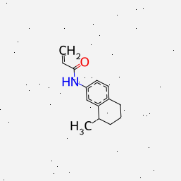 C=CC(=O)Nc1ccc2c(c1)C(C)CCC2